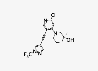 C[C@]1(O)CCCN(c2cc(Cl)ncc2C#Cc2cnn(C(F)(F)F)c2)C1